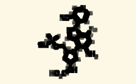 CC(C)(C)[Si](C)(C)OC[C@@H]1C[C@H](NC(=O)O)CN1c1c(N)cc(F)c2c1cnn2-c1ccncc1C#N